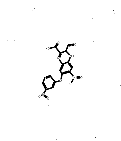 O=CC1Nc2cc([N+](=O)[O-])c(Oc3cccc([N+](=O)[O-])c3)cc2N=C1C(=O)O